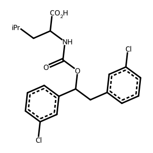 CC(C)CC(NC(=O)OC(Cc1cccc(Cl)c1)c1cccc(Cl)c1)C(=O)O